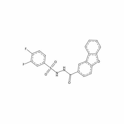 O=C(NNS(=O)(=O)c1ccc(F)c(F)c1)c1ccc2oc3ccccc3c2c1